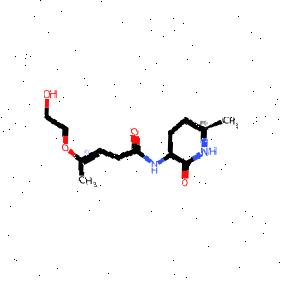 C/C(=C\CC(=O)NC1CC[C@@H](C)NC1=O)OCCO